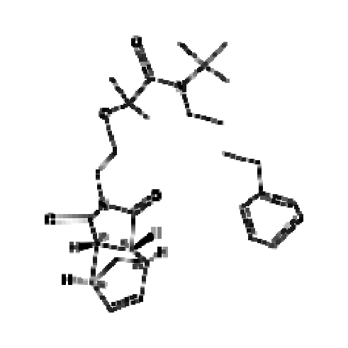 CC(C)(OCCN1C(=O)[C@@H]2[C@H](C1=O)[C@H]1C=C[C@@H]2C1)C(=O)N(CCCCc1ccccc1)C(C)(C)C